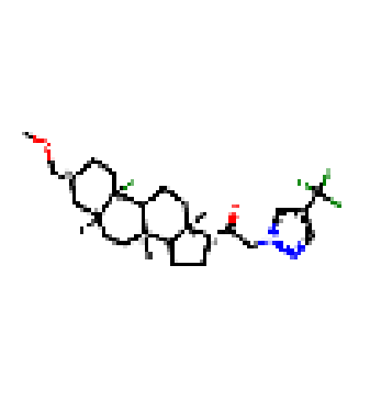 COC[C@H]1CC[C@]2(F)C3CC[C@@]4(C)C(CC[C@@H]4C(=O)Cn4cc(C(F)(F)F)cn4)[C@@H]3CC[C@@H]2C1